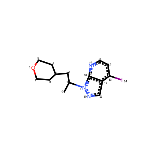 CC(CC1CCOCC1)n1ncc2c(I)ccnc21